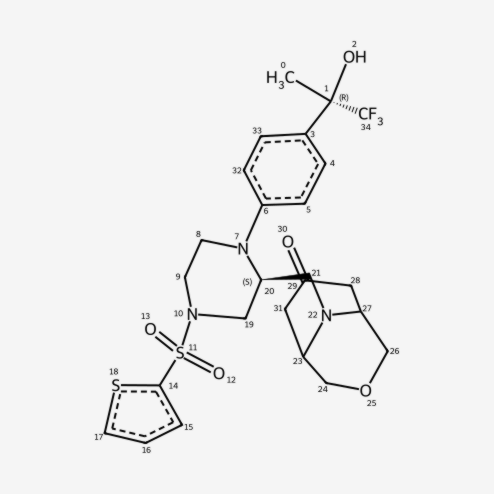 C[C@@](O)(c1ccc(N2CCN(S(=O)(=O)c3cccs3)C[C@@H]2CN2C3COCC2CC(=O)C3)cc1)C(F)(F)F